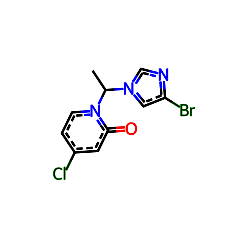 CC(n1cnc(Br)c1)n1ccc(Cl)cc1=O